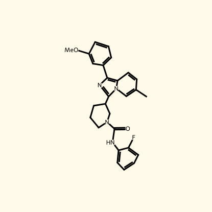 COc1cccc(-c2nc(C3CCCN(C(=O)Nc4ccccc4F)C3)n3cc(C)ccc23)c1